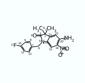 CC1(C)C(=O)N(Cc2ccc(F)cc2)c2cc([N+](=O)[O-])c(N)cc21